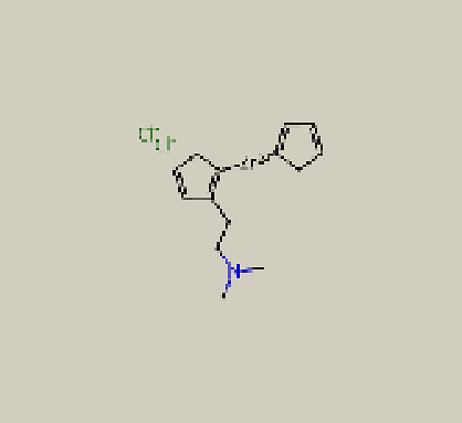 CN(C)CCC1=[C]([Zr+2][C]2=CC=CC2)CC=C1.[Cl-].[Cl-]